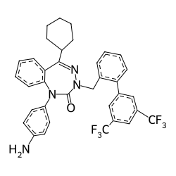 Nc1ccc(N2C(=O)N(Cc3ccccc3-c3cc(C(F)(F)F)cc(C(F)(F)F)c3)N=C(C3CCCCC3)c3ccccc32)cc1